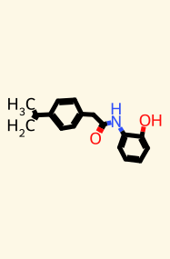 C=C(C)c1ccc(CC(=O)Nc2ccccc2O)cc1